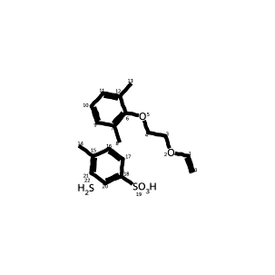 C=COCCOc1c(C)cccc1C.Cc1ccc(S(=O)(=O)O)cc1.S